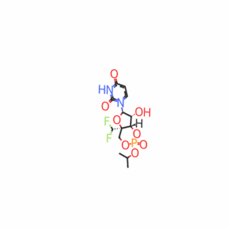 CC(C)OP1(=O)OC[C@@]2(C(F)F)O[C@@H](n3ccc(=O)[nH]c3=O)[C@H](O)[C@@H]2O1